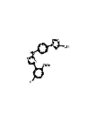 COc1ccc(Br)cc1-c1csc(Nc2ccc(-n3cnc(C)c3)cc2)n1